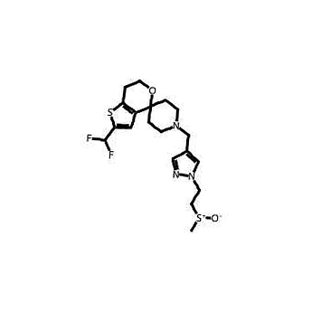 C[S+]([O-])CCn1cc(CN2CCC3(CC2)OCCc2sc(C(F)F)cc23)cn1